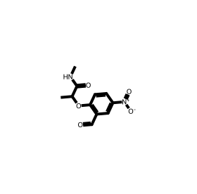 CNC(=O)C(C)Oc1ccc([N+](=O)[O-])cc1C=O